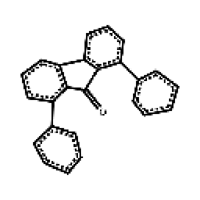 O=C1c2c(-c3ccccc3)cccc2-c2cccc(-c3ccccc3)c21